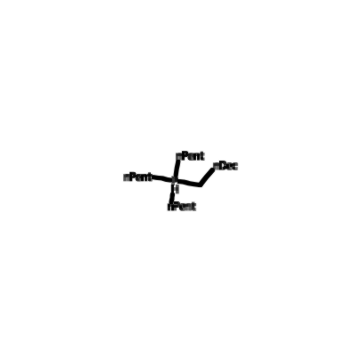 CCCCCCCCCCC[PH](CCCCC)(CCCCC)CCCCC